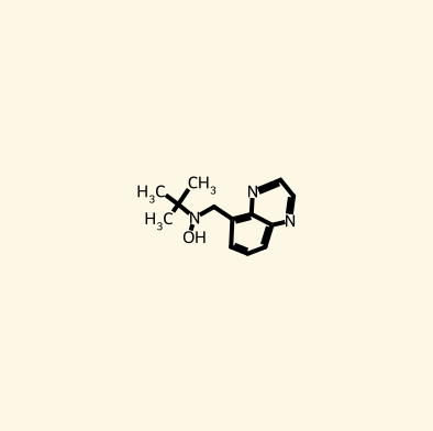 CC(C)(C)N(O)Cc1cccc2nccnc12